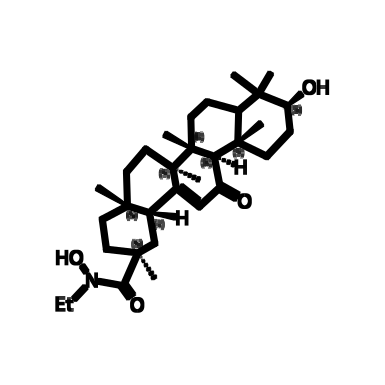 CCN(O)C(=O)[C@@]1(C)CC[C@]2(C)CC[C@]3(C)C(=CC(=O)[C@@H]4[C@@]5(C)CC[C@H](O)C(C)(C)C5CC[C@]43C)[C@@H]2C1